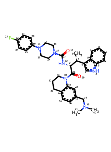 C[C@H](c1c[nH]c2ccccc12)[C@@H](NC(=O)N1CCN(c2ccc(F)cc2)CC1)C(=O)N1CCCc2ccc(CN(C)C)cc21